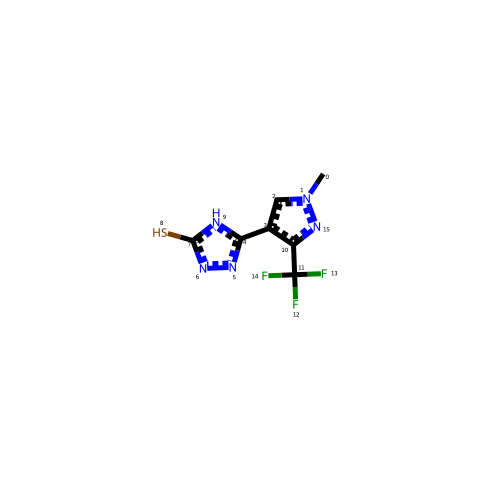 Cn1cc(-c2nnc(S)[nH]2)c(C(F)(F)F)n1